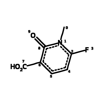 Cn1c(F)ccc(C(=O)O)c1=O